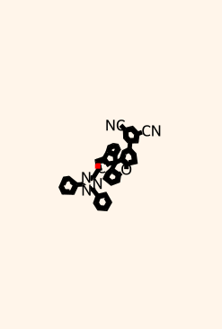 N#Cc1cc(C#N)cc(-c2ccc3c(c2)C2(c4ccccc4O3)c3ccccc3-c3ccc(-c4nc(-c5ccccc5)nc(-c5ccccc5)n4)cc32)c1